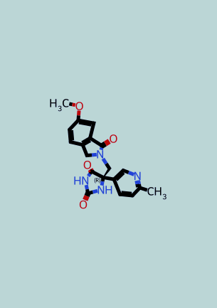 COc1ccc2c(c1)C(=O)N(C[C@@]1(c3ccc(C)nc3)NC(=O)NC1=O)C2